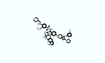 CC(C)c1cc(F)ccc1[C@@H]1CCCN1C1CC2(CCN(c3ccc(C(=O)NS(=O)(=O)c4ccc(NCC5CCOCC5)c([N+](=O)[O-])c4)c(N4c5cc6cc[nH]c6nc5O[C@@H]5COC[C@H]54)c3)CC2)C1